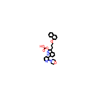 O=C(O)Oc1[nH]c2c(-c3cccnc3N3CCOCC3)cccc2c1CCCOc1cccc2ccccc12